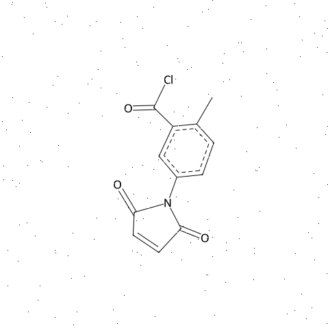 Cc1ccc(N2C(=O)C=CC2=O)cc1C(=O)Cl